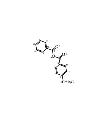 CCCCCCCc1ccc(C(=O)OC(=O)c2ccccc2)cc1